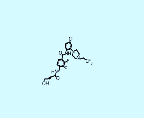 O=C(C#CCO)NCc1ccc(C(=O)Nc2ccc(Cl)cc2N2CCN(CCC(F)(F)F)CC2)c(F)c1F